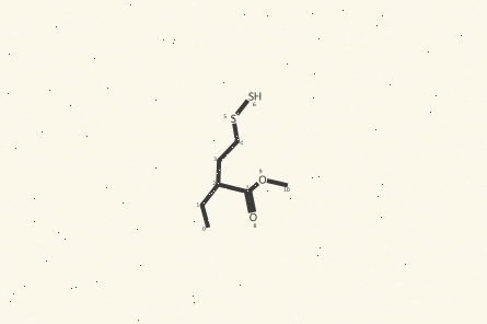 CCC(CCSS)C(=O)OC